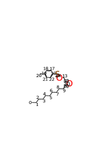 CCCCCCCCCC[C@@H]1O[C@@H]1COSc1ccc(C)cc1